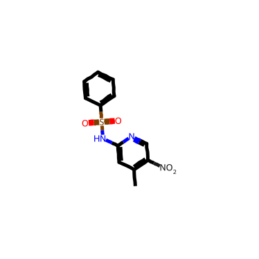 Cc1cc(NS(=O)(=O)c2ccccc2)ncc1[N+](=O)[O-]